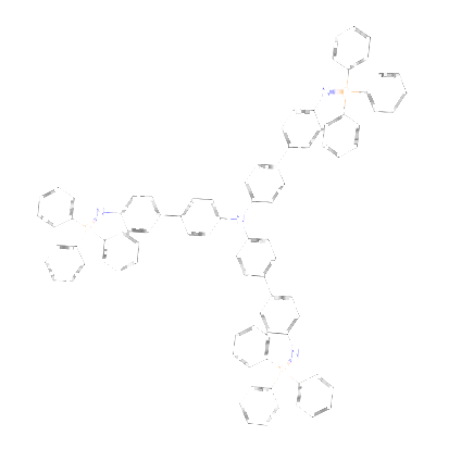 c1ccc(P(=Nc2ccc(-c3ccc(N(c4ccc(-c5ccc(N=P(c6ccccc6)(c6ccccc6)c6ccccc6)cc5)cc4)c4ccc(-c5ccc(N=P(c6ccccc6)(c6ccccc6)c6ccccc6)cc5)cc4)cc3)cc2)(c2ccccc2)c2ccccc2)cc1